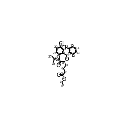 CCOC(=O)CCC[C@@H]1O[C@@H](c2ccccc2Cl)c2cc(Cl)ccc2N(C(C)C)C1=O